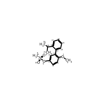 COc1ccc(OS(C)(=O)=O)cc1-c1ccccc1C(C)C